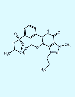 CCCc1nn(C)c2c1N(OCC)C(c1cccc(S(=O)(=O)OC(C)C)c1)NC2=O